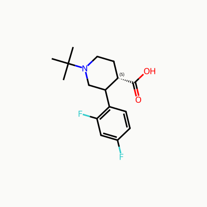 CC(C)(C)N1CC[C@H](C(=O)O)C(c2ccc(F)cc2F)C1